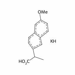 COc1ccc2cc(C(C)C(=O)O)ccc2c1.[KH]